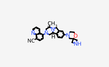 C[C@@H]1CN(c2ccc(C#N)c3ncccc23)C[C@@H]2c3ccc(N4CCOC5(CNC5)C4)cc3CN12